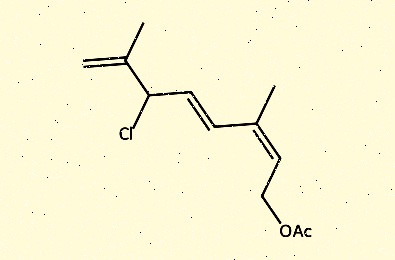 C=C(C)C(Cl)C=CC(C)=CCOC(C)=O